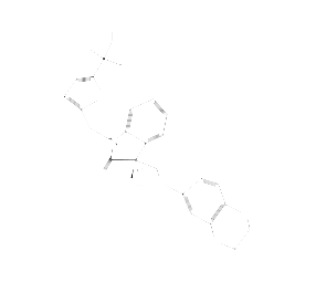 C[C@@]1(COc2ccc3c(c2)OCCO3)C(=O)N(Cc2ccc(C(F)(F)F)o2)c2ccccc21